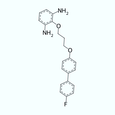 Nc1cccc(N)c1OCCCOc1ccc(-c2ccc(F)cc2)cc1